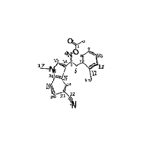 CC(=O)O/N=C(\Cc1ccccc1C)c1cn(C)c2ccc(C#N)cc12